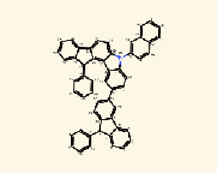 c1ccc(C2c3ccccc3-c3cc(-c4ccc5c(c4)c4c6c(ccc4n5-c4ccc5ccccc5c4)-c4ccccc4C6c4ccccc4)ccc32)cc1